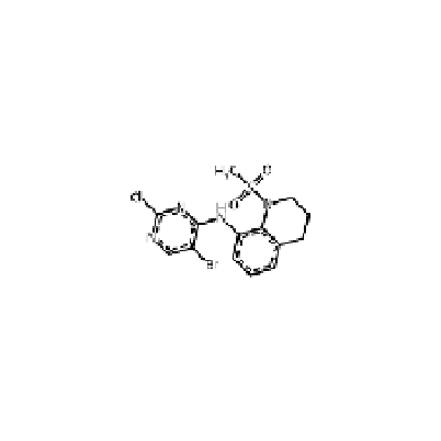 CS(=O)(=O)N1CCCc2cccc(Nc3nc(Cl)ncc3Br)c21